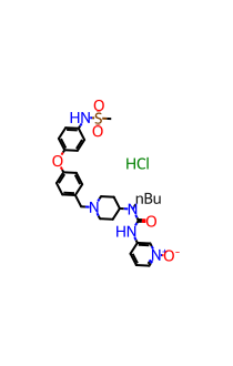 CCCCN(C(=O)Nc1ccc[n+]([O-])c1)C1CCN(Cc2ccc(Oc3ccc(NS(C)(=O)=O)cc3)cc2)CC1.Cl